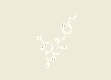 CCSc1ccc(CN/C(C=O)=N/c2c(C)nc(Cl)nc2N(C)C(C)C2CC2)cn1